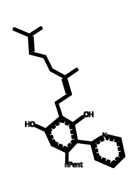 CCCCCc1cc(O)c(CC=C(C)CCC=C(C)C)c(O)c1-c1ccccn1